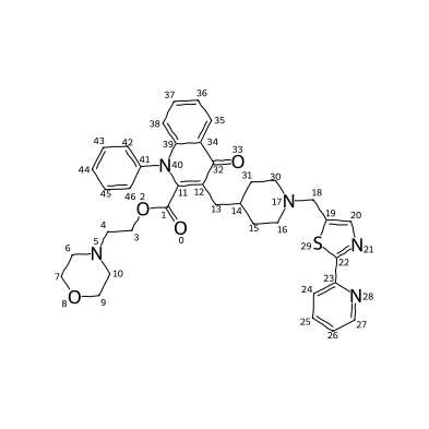 O=C(OCCN1CCOCC1)c1c(CC2CCN(Cc3cnc(-c4ccccn4)s3)CC2)c(=O)c2ccccc2n1-c1ccccc1